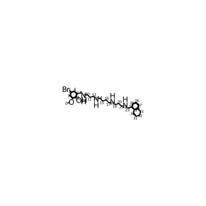 COc1cc(Br)cc(CNCCCNCCCCNCCCNCc2cccc3c2C=CCC3)c1O